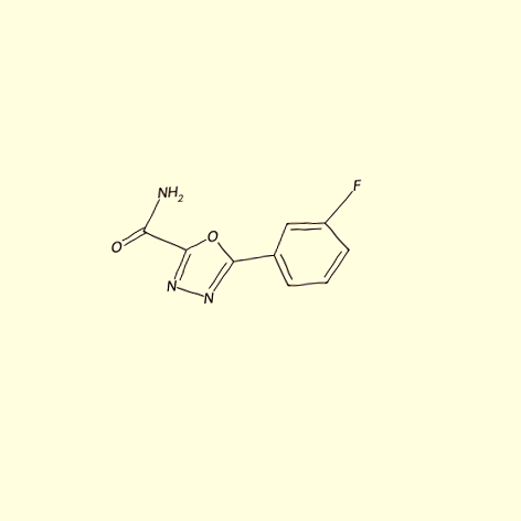 NC(=O)c1nnc(-c2cccc(F)c2)o1